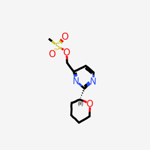 CS(=O)(=O)OCc1ccnc([C@H]2CCCCO2)n1